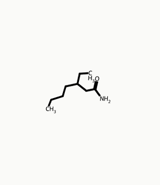 CCCCC(CC)CC(N)=O